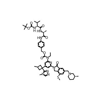 CCN(C(=O)OCc1ccc(NC(=O)[C@H](C)NC(=O)[C@@H](NC(=O)OC(C)(C)C)C(C)C)cc1)c1cc(C2(c3nncn3C)CC(C)C2)cc(N2Cc3c(SC)cc(CN4CCC[C@H](C)C4)cc3C2=O)n1